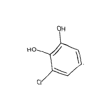 Oc1c[c]cc(Cl)c1O